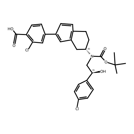 CC(C)(C)OC(=O)N(C[C@@H](O)c1ccc(Cl)cc1)[C@H]1CCc2ccc(-c3ccc(C(=O)O)c(Cl)c3)cc2C1